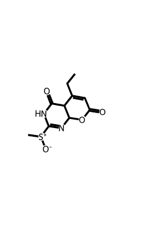 CCC1=CC(=O)OC2N=C([S+](C)[O-])NC(=O)C12